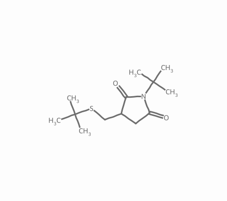 CC(C)(C)SCC1CC(=O)N(C(C)(C)C)C1=O